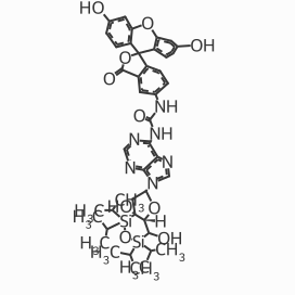 CC(C)[Si]1(C(C)C)O[Si](C(C)C)(C(C)C)[C@]2(O)C[C@H](n3cnc4c(NC(=O)Nc5ccc6c(c5)C(=O)OC65c6ccc(O)cc6Oc6cc(O)ccc65)ncnc43)O[C@@H]2C1O